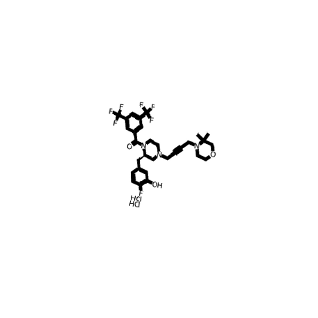 CC1(C)COCCN1CC#CCN1CCN(C(=O)c2cc(C(F)(F)F)cc(C(F)(F)F)c2)[C@H](Cc2ccc(F)c(O)c2)C1.Cl.Cl